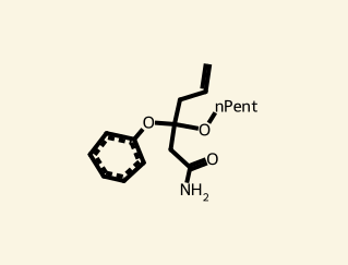 C=CCC(CC(N)=O)(OCCCCC)Oc1ccccc1